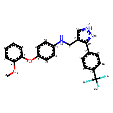 COc1ccccc1Oc1ccc(NCc2c[nH]nc2-c2ccc(C(F)(F)F)cc2)cc1